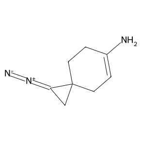 [N-]=[N+]=C1CC12CC=C(N)CC2